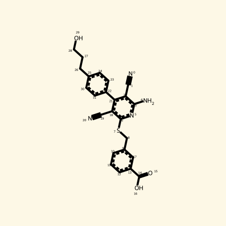 N#Cc1c(N)nc(SCc2cccc(C(=O)O)c2)c(C#N)c1-c1ccc(CCCO)cc1